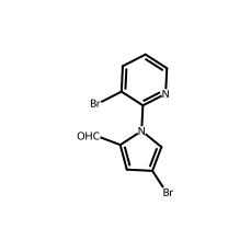 O=Cc1cc(Br)cn1-c1ncccc1Br